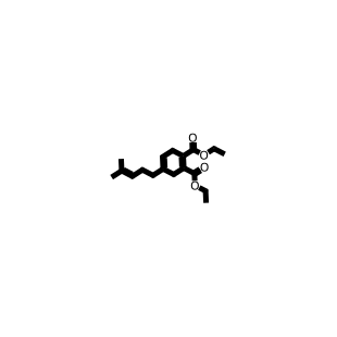 CCOC(=O)C1=C(C(=O)OCC)CC(CCC=C(C)C)=CC1